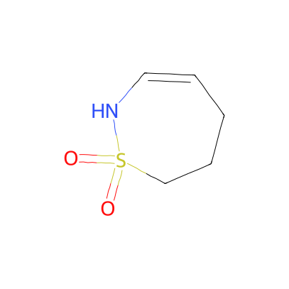 O=S1(=O)CCCC=CN1